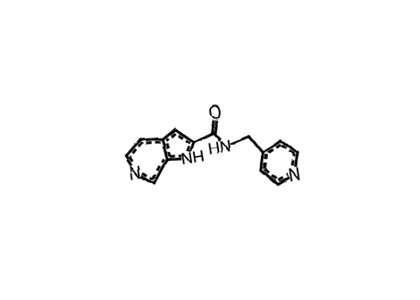 O=C(NCc1ccncc1)c1cc2ccncc2[nH]1